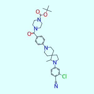 CC1N(c2ccc(C#N)c(Cl)c2)CCC12CCN(c1ccc(C(=O)N3CCN(C(=O)OC(C)(C)C)CC3)cc1)CC2